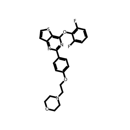 Fc1cccc(F)c1Oc1nc(-c2ccc(OCCN3CCOCC3)cc2)nc2ccsc12